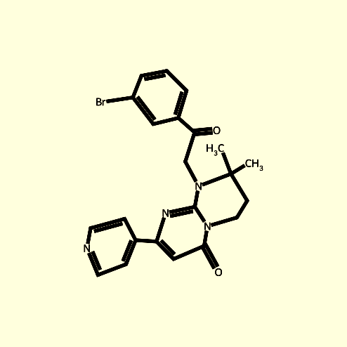 CC1(C)CCn2c(nc(-c3ccncc3)cc2=O)N1CC(=O)c1cccc(Br)c1